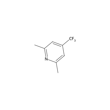 Cc1cc(C(F)(F)F)cc(C)n1